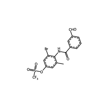 Cc1cc(OS(=O)(=O)C(F)(F)F)cc(Br)c1NC(=O)c1cccc(C=O)c1